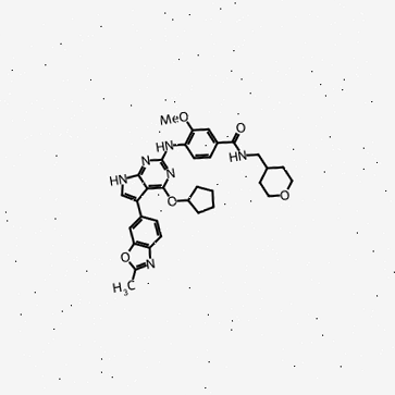 COc1cc(C(=O)NCC2CCOCC2)ccc1Nc1nc(OC2CCCC2)c2c(-c3ccc4nc(C)oc4c3)c[nH]c2n1